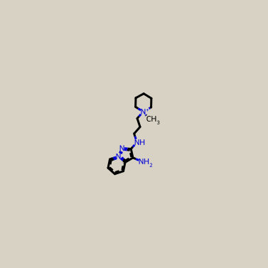 C[N+]1(CCCNc2nn3ccccc3c2N)CCCCC1